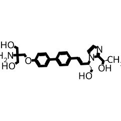 C[C@H](O)c1nccn1[C@@H](/C=C/c1ccc(-c2ccc(OCC(N)(CO)CO)cc2)cc1)CO